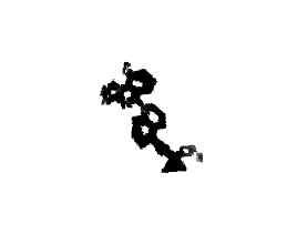 Fc1cccc2c(N3CCCc4c(C#CC5(C(F)(F)F)CC5)cccc43)nc3nncn3c12